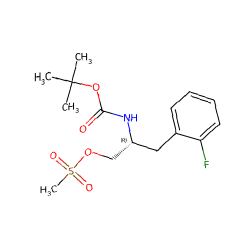 CC(C)(C)OC(=O)N[C@@H](COS(C)(=O)=O)Cc1ccccc1F